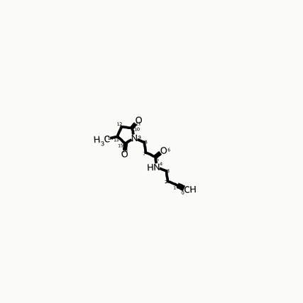 C#CCCNC(=O)CCN1C(=O)CC(C)C1=O